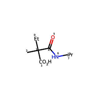 CCC(C)(C(=O)O)C(=O)NC(C)C